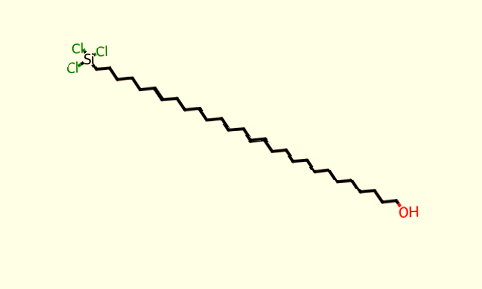 OCCCCCCCCCCCCCCCCCCCCCCCCCCCC[Si](Cl)(Cl)Cl